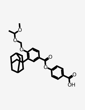 COC(C)OCOc1ccc(C(=O)Oc2ccc(C(=O)O)cc2)cc1C12CC3CC(CC(C3)C1)C2